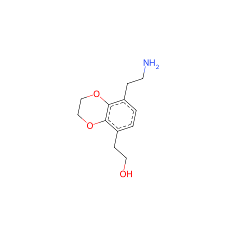 NCCc1ccc(CCO)c2c1OCCO2